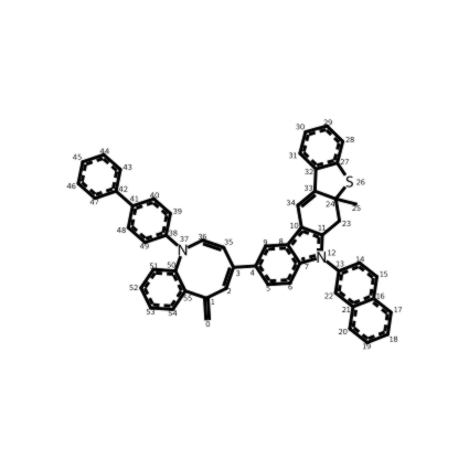 C=C1/C=C(c2ccc3c(c2)c2c(n3-c3ccc4ccccc4c3)CC3(C)Sc4ccccc4C3=C2)\C=C/N(c2ccc(-c3ccccc3)cc2)c2ccccc21